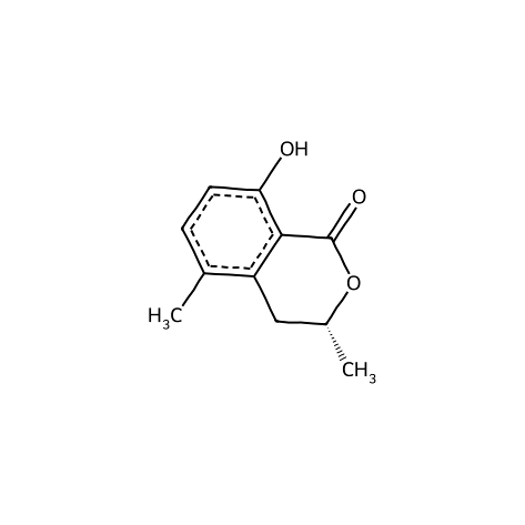 Cc1ccc(O)c2c1C[C@@H](C)OC2=O